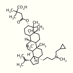 C=C(C)[C@@H]1CC[C@]2(CCCN(C)CC3CC3)CC[C@]3(C)[C@H](CC[C@@H]4[C@@]5(C)CC[C@H](OC(=O)CC(C)(C)C(=O)O)C(C)(C)[C@@H]5CC[C@]43C)[C@@H]12